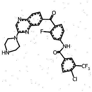 O=C(Nc1ccc(C(=O)c2ccc3ncc(N4CCNCC4)nc3c2)c(F)c1)c1ccc(Cl)c(C(F)(F)F)c1